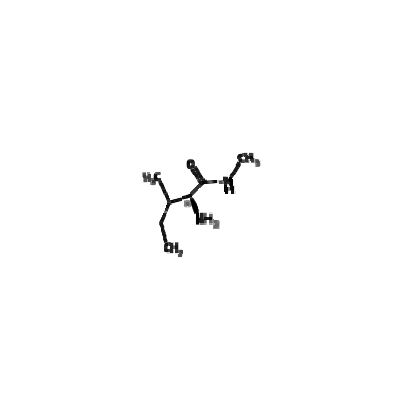 CCC(C)[C@H](N)C(=O)NC